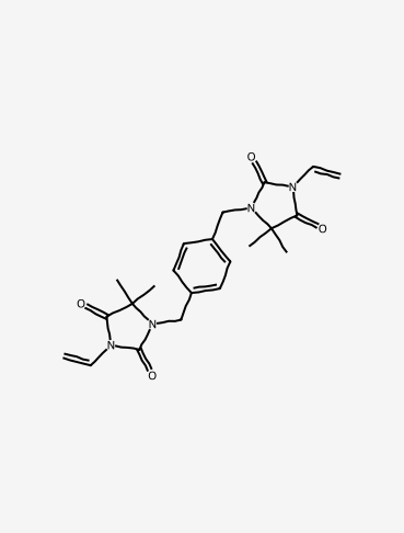 C=CN1C(=O)N(Cc2ccc(CN3C(=O)N(C=C)C(=O)C3(C)C)cc2)C(C)(C)C1=O